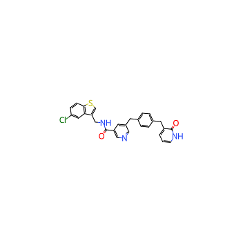 O=C(NCc1csc2ccc(Cl)cc12)c1cncc(Cc2ccc(Cc3ccc[nH]c3=O)cc2)c1